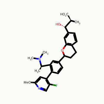 COc1cc(-c2ccc(C3CCc4ccc([C@H](O)[C@H](C)C(=O)O)cc4O3)cc2[C@@H](C)N(C)C)c(F)cn1